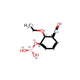 CCOC1C(=C=O)C=CC=C1OB(O)O